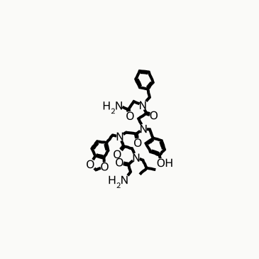 CC(C)CN(CC(=O)N(CC(=O)N(CC(=O)N(CC(N)=O)Cc1ccccc1)Cc1ccc(O)cc1)Cc1ccc2c(c1)OCO2)C(=O)CN